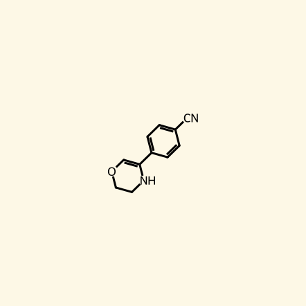 N#Cc1ccc(C2=COCCN2)cc1